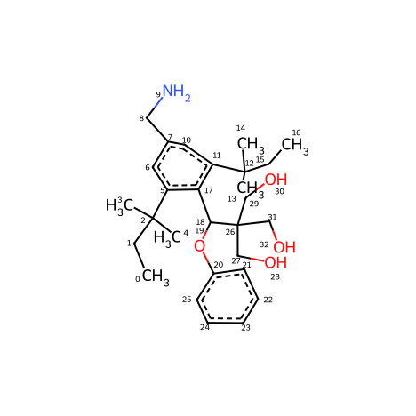 CCC(C)(C)c1cc(CN)cc(C(C)(C)CC)c1C(Oc1ccccc1)C(CO)(CO)CO